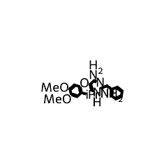 COc1cc(OC2=CNC(N)(Cc3ccccc3)N=C2N)c(C(C)C)cc1OC